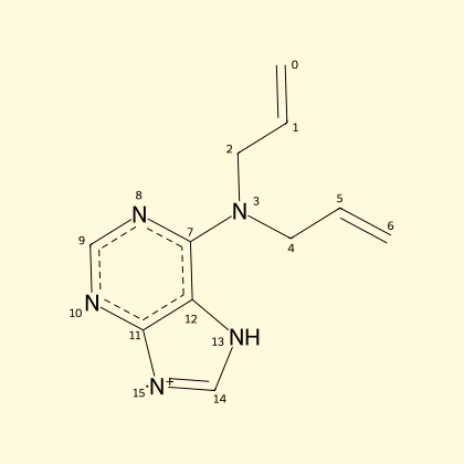 C=CCN(CC=C)c1ncnc2c1NC=[N+]2